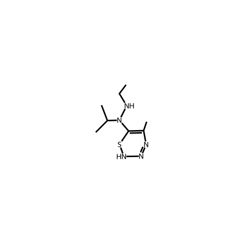 CCNN(C1=C(C)N=NNS1)C(C)C